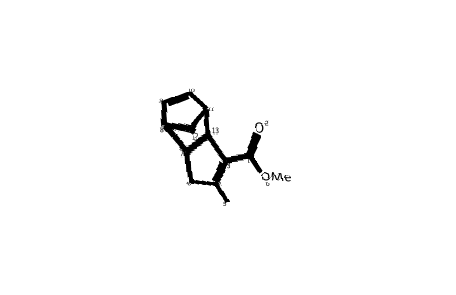 COC(=O)C1=C(C)CC2C3C=CC(C3)C12